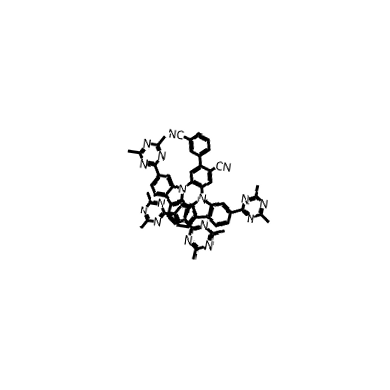 Cc1nc(C)nc(-c2ccc3c4ccc(-c5nc(C)nc(C)n5)cc4n(-c4cc(C#N)c(-c5cccc(C#N)c5)cc4-n4c5cc(-c6nc(C)nc(C)n6)ccc5c5ccc(-c6nc(C)nc(C)n6)cc54)c3c2)n1